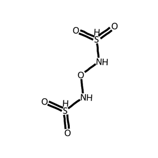 O=[SH](=O)NON[SH](=O)=O